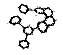 c1ccc(-c2cc(-c3ccccc3)nc(-c3ccc4ccc5ccc6nc(-c7ccccc7)oc6c5c4c3)n2)cc1